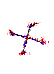 CC(=O)OCC1OC(OCCCCC(=O)NCCCNC(=O)CCOCC(COCCC(=O)NCCCNC(=O)CCCCOC2OC(COC(C)=O)C(O)C(O)C2N)(COCCC(=O)NCCCNC(=O)CCCCOC2OC(COC(C)=O)C(O)C(O)[C@@H]2N)NC(=O)CCCCCCCCCCC(=O)N2C[C@H](OC(=O)CCC(=O)O)C[C@H]2CO)C(N)C(O)C1O